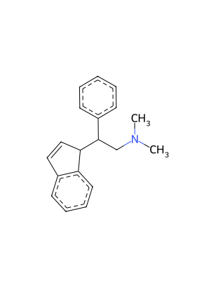 CN(C)CC(c1ccccc1)C1C=Cc2ccccc21